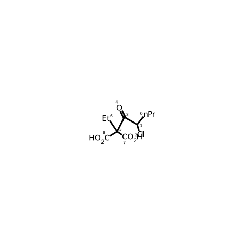 CCCC(Cl)C(=O)C(CC)(C(=O)O)C(=O)O